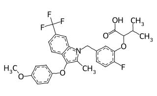 COc1ccc(Oc2c(C)n(Cc3ccc(F)c(OC(C(=O)O)C(C)C)c3)c3cc(C(F)(F)F)ccc23)cc1